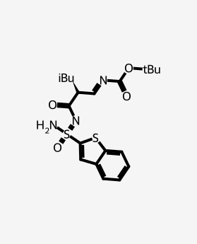 CC[C@H](C)C(/C=N/C(=O)OC(C)(C)C)C(=O)N=S(N)(=O)c1cc2ccccc2s1